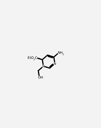 CCOC(=O)C1C=C(N)N=CN1CO